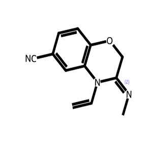 C=CN1/C(=N\C)COc2ccc(C#N)cc21